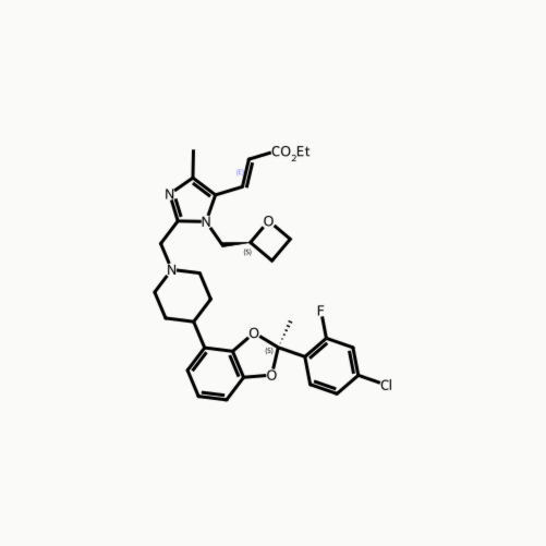 CCOC(=O)/C=C/c1c(C)nc(CN2CCC(c3cccc4c3O[C@@](C)(c3ccc(Cl)cc3F)O4)CC2)n1C[C@@H]1CCO1